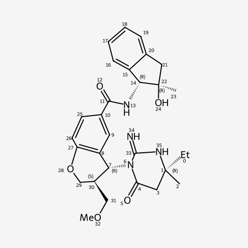 CC[C@]1(C)CC(=O)N([C@H]2c3cc(C(=O)N[C@@H]4c5ccccc5C[C@@]4(C)O)ccc3OC[C@@H]2COC)C(=N)N1